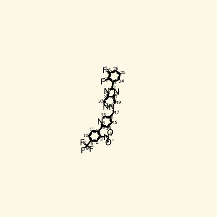 O=[N+]([O-])c1cc(C(F)(F)F)ccc1-c1ccc(Cn2cc3nc(-c4cccc(F)c4F)nc-3cn2)cn1